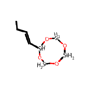 CCC=C[SiH]1O[SiH2]O[SiH2]O[SiH2]O1